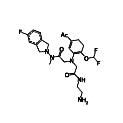 CC(=O)C1=CC(N(CC(=O)NCCN)CC(=O)N(C)N2Cc3ccc(F)cc3C2)=C(OC(F)F)CC1